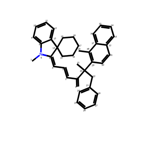 C=C(/C=C/C=C1/N(C)c2ccccc2C12CCCCC2)C(C)(Cc1ccccc1)c1ccc2ccccc2c1C